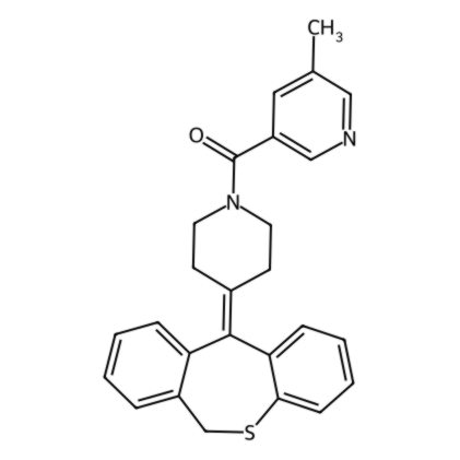 Cc1cncc(C(=O)N2CCC(=C3c4ccccc4CSc4ccccc43)CC2)c1